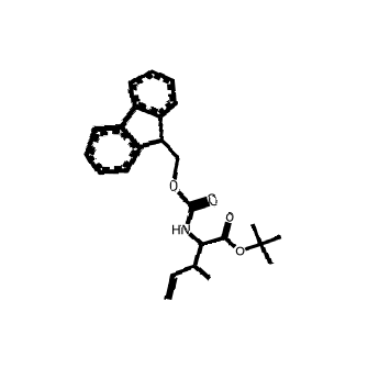 C=CC(C)C(NC(=O)OCC1c2ccccc2-c2ccccc21)C(=O)OC(C)(C)C